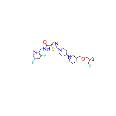 O=C(NCc1ncc(F)cc1F)c1cnc(N2CCC(N3CCCC(COCC4(CF)CC4)C3)CC2)s1